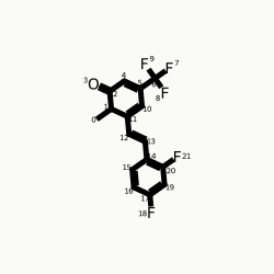 CC1C(=O)C=C(C(F)(F)F)C=C1/C=C/c1ccc(F)cc1F